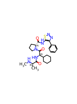 CN[C@H](C)C(=O)N[C@@H](C(=O)N1CCC[C@@H]1C(=O)Nc1snnc1-c1ccccc1)C1CCCCC1